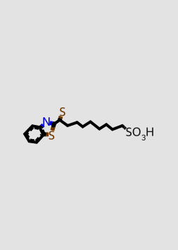 O=S(=O)(O)CCCCCCCCC(=S)c1nc2ccccc2s1